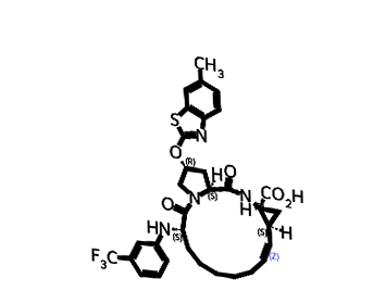 Cc1ccc2nc(O[C@@H]3C[C@H]4C(=O)N[C@]5(C(=O)O)C[C@H]5/C=C\CCCCC[C@H](Nc5cccc(C(F)(F)F)c5)C(=O)N4C3)sc2c1